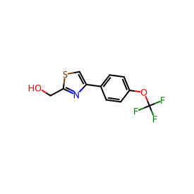 OCc1nc(-c2ccc(OC(F)(F)F)cc2)cs1